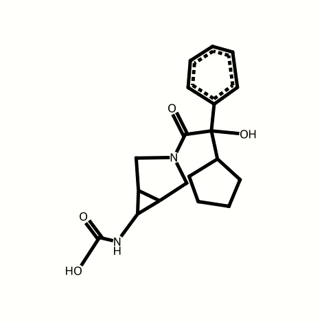 O=C(O)NC1C2CN(C(=O)C(O)(c3ccccc3)C3CCCC3)CC21